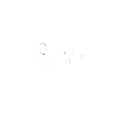 CC(=O)c1cccc(C(=O)O[C@H]2CC[C@@]3(C)C(=CC[C@H]4[C@@H]5CC[C@H]([C@H](C)CCCC(C)C)[C@@]5(C)CC[C@@H]43)C2)c1O